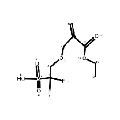 C=C(COCC(F)(F)S(=O)(=O)O)C(=O)OCC